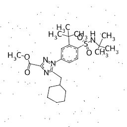 COC(=O)c1nc(CC2CCCCC2)n(-c2ccc(S(=O)(=O)NC(C)(C)C)c(C(C)(C)C)c2)n1